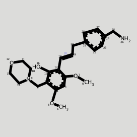 COc1cc(OC)c(CN2CCOCC2)c(O)c1/C=C/Cc1ccc(CN)cc1